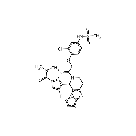 CN(C)C(=O)c1cc(F)c(C2c3c(nc4sccn34)CCN2C(=O)COc2ccc(NS(C)(=O)=O)cc2Cl)s1